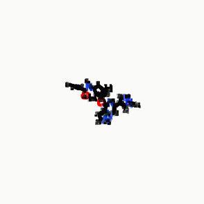 CC#CC(=O)N(C)[C@@H]1C[C@@H]2C[C@H]1[C@@H](Oc1nc(-c3cnn(C)c3)cn3nccc13)C2